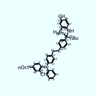 CCCCCCCCc1ccc(N(c2ccccc2)c2ccc(CCc3ccc(C(CCC)(CCCC)Nc4ccc(C)cc4C)cc3)cc2)c(C)c1